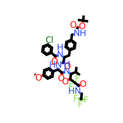 COc1ccc(C(NC(=O)C(Cc2ccc(CNC(=O)OC(C)(C)C)cc2)NC(=O)c2cccc(Cl)c2)C(=O)NC(C(=O)C(F)(F)C(=O)NCC(F)(F)F)C(C)C)cc1